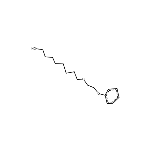 OCCCCCCCCOCCOc1ccccc1